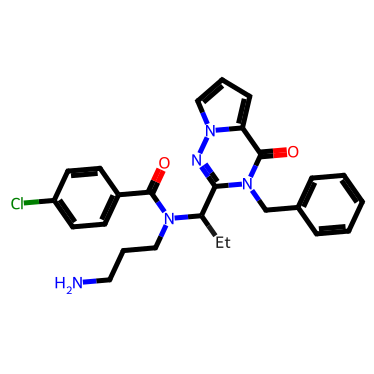 CCC(c1nn2cccc2c(=O)n1Cc1ccccc1)N(CCCN)C(=O)c1ccc(Cl)cc1